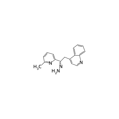 Cc1cccc(C(Cc2ccnc3ccccc23)=NN)n1